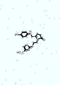 CC(C)c1ccc(NC[C@H]2CCC(=O)N2CCSc2nc(C(=O)O)cs2)cc1